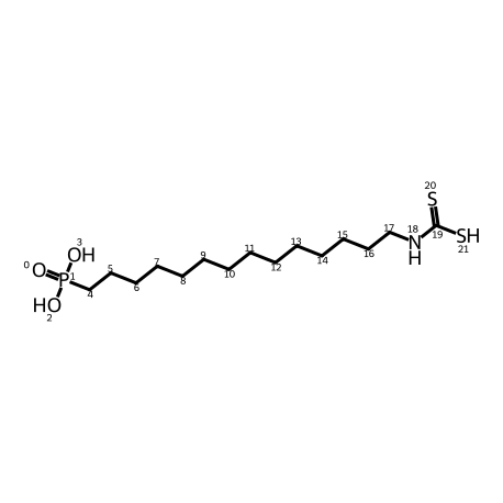 O=P(O)(O)CCCCCCCCCCCCCCNC(=S)S